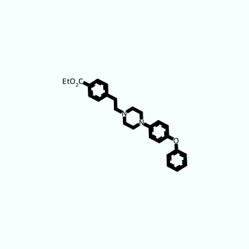 CCOC(=O)c1ccc(CCN2CCN(c3ccc(Oc4ccccc4)cc3)CC2)cc1